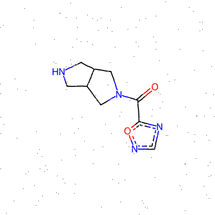 O=C(c1ncno1)N1CC2CNCC2C1